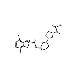 Cc1ccc(F)c2c1NC(C(=O)N[C@@H]1CCCC(N3CCC(N(C)C(=O)C(C)C)C3)C1)C2